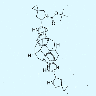 CC(C)(C)OC(=O)N1CC2(CC2)C[C@H]1c1nc2cc(C3C[C@H]4CC[C@@H]3CC[C@@H]3CC[C@H](CC4)C(c4ccc5nc(C6CC7(CC7)CN6)[nH]c5c4)C3)ccc2[nH]1